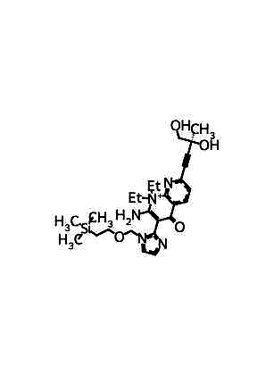 CC[N+]1(CC)C(N)=C(c2nccn2COCC[Si](C)(C)C)C(=O)c2ccc(C#C[C@](C)(O)CO)nc21